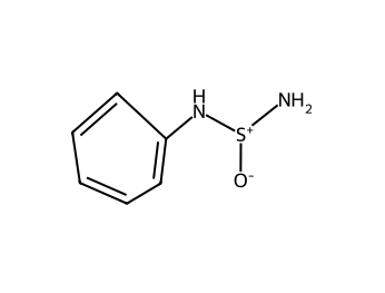 N[S+]([O-])Nc1ccccc1